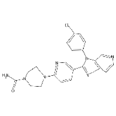 NC(=O)N1CCN(c2ccc(-c3nc4ccncc4n3-c3ccc(Cl)cc3)cn2)CC1